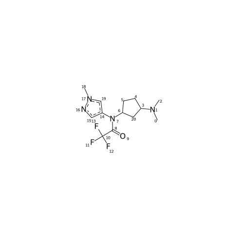 CN(C)C1CCC(N(C(=O)C(F)(F)F)c2cnn(C)c2)C1